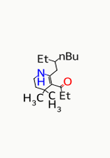 CCCCC(CC)CC1=C(C(=O)CC)C(C)(C)CCN1